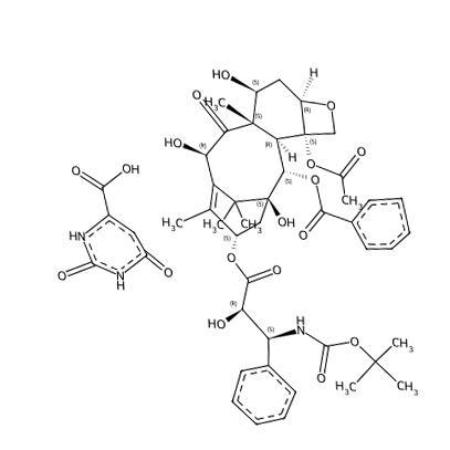 CC(=O)O[C@@]12CO[C@@H]1C[C@H](O)[C@@]1(C)C(=O)[C@H](O)C3=C(C)[C@@H](OC(=O)[C@H](O)[C@@H](NC(=O)OC(C)(C)C)c4ccccc4)C[C@@](O)([C@@H](OC(=O)c4ccccc4)[C@H]21)C3(C)C.O=C(O)c1cc(=O)[nH]c(=O)[nH]1